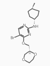 C[C@H]1CC[C@H](Nc2ncc(Br)c(OC[C@H]3COCCO3)n2)CC1